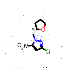 O=[N+]([O-])c1cc(Cl)nn1C[C@@H]1CCCO1